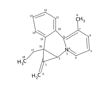 C=C1C2[n+]3cccc(C)c3-c3ccccc3C12CC